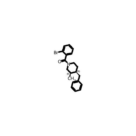 C[C@H]1CN(C(=O)c2ccccc2Br)CC[C@H]1Cc1ccccc1